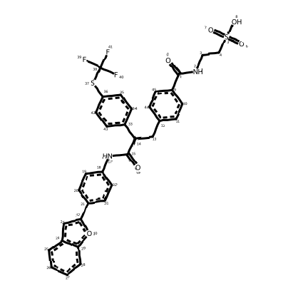 O=C(NCCS(=O)(=O)O)c1ccc(CC(C(=O)Nc2ccc(-c3cc4ccccc4o3)cc2)c2ccc(SC(F)(F)F)cc2)cc1